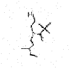 CCC(C)CCN(CCO)C(=O)C(C)(C)C